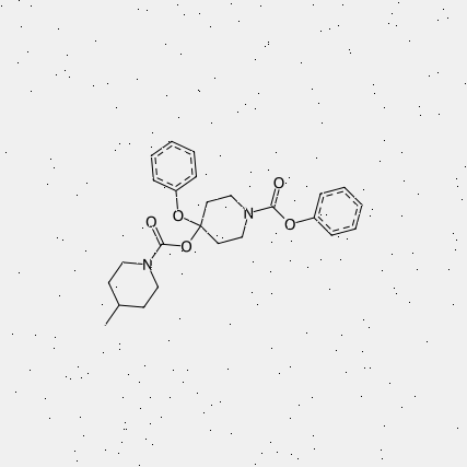 CC1CCN(C(=O)OC2(Oc3ccccc3)CCN(C(=O)Oc3ccccc3)CC2)CC1